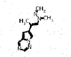 C=NN(C)/C=C(\C)c1cc2cncnn2c1